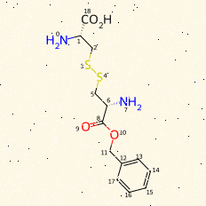 N[C@@H](CSSC[C@H](N)C(=O)OCc1ccccc1)C(=O)O